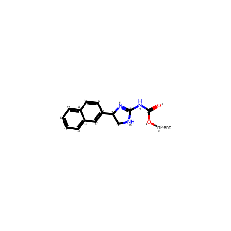 CCCCCOC(=O)NC1=NC(c2ccc3ccccc3c2)CN1